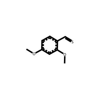 COc1ccc(C=S)c(OC)c1